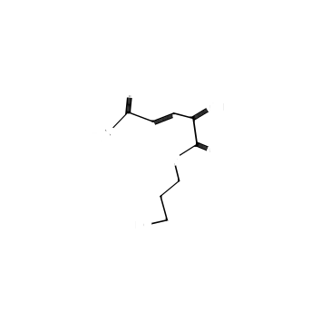 C=C(C=CC(N)=O)C(=O)OCCCC